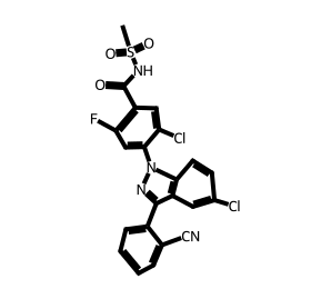 CS(=O)(=O)NC(=O)c1cc(Cl)c(-n2nc(-c3ccccc3C#N)c3cc(Cl)ccc32)cc1F